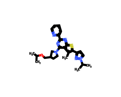 Cc1c(-c2ccn(C(C)C)n2)sc2nc(-c3ccccn3)nc(N3CCC(COC(C)C)C3)c12